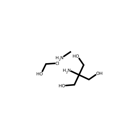 CN.NC(CO)(CO)CO.OCCl